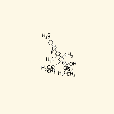 C=C(C)C(=O)OCCCc1cc(-c2ccc(-c3ccc(C4CCC(CCC)CC4)cc3F)cc2CC)c(CC)cc1OCC(CO)(CO)COC(=O)C(=C)C